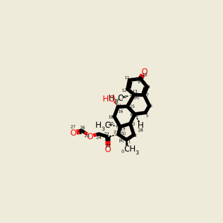 C[C@@H]1CC2[C@@H]3CCC4=CC(=O)C=C[C@]4(C)C3[C@@H](O)C[C@]2(C)[C@H]1C(=O)COC=O